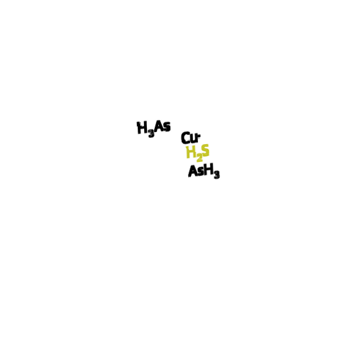 S.[AsH3].[AsH3].[Cu]